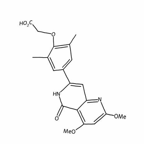 COc1cc(OC)c2c(=O)[nH]c(-c3cc(C)c(OCC(=O)O)c(C)c3)cc2n1